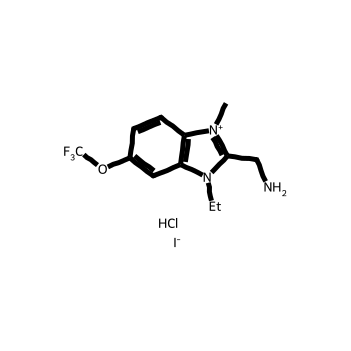 CCn1c(CN)[n+](C)c2ccc(OC(F)(F)F)cc21.Cl.[I-]